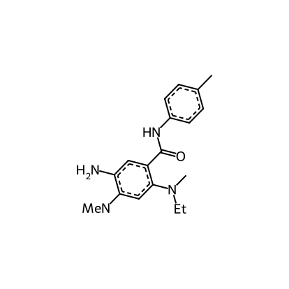 CCN(C)c1cc(NC)c(N)cc1C(=O)Nc1ccc(C)cc1